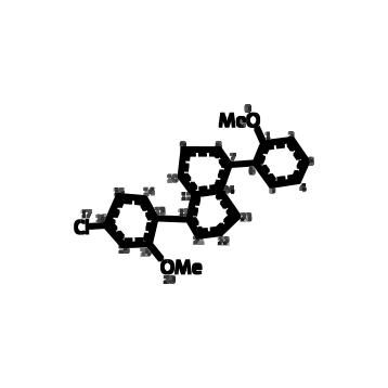 COc1ccccc1-c1cccc2c(-c3ccc(Cl)cc3OC)cccc12